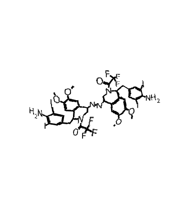 COc1cc2c(cc1OC)C(Cc1cc(I)c(N)c(I)c1)N(C(=O)C(F)(F)F)CC2N=NC1CN(C(=O)C(F)(F)F)C(Cc2cc(I)c(N)c(I)c2)c2cc(OC)c(OC)cc21